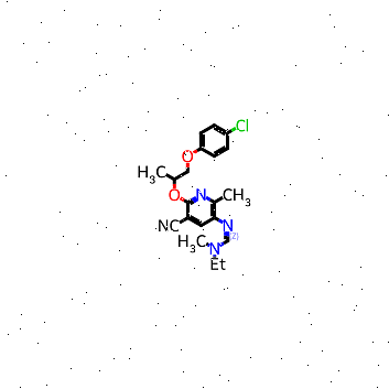 CCN(C)/C=N\c1cc(C#N)c(OC(C)COc2ccc(Cl)cc2)nc1C